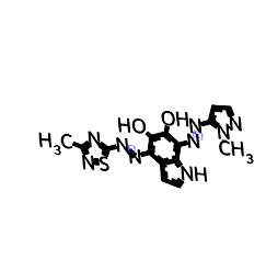 Cc1nsc(/N=N/c2c(O)c(O)c(/N=N/c3ccnn3C)c3[nH]ccc23)n1